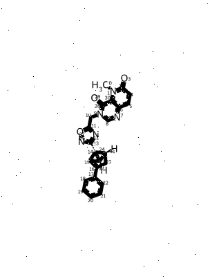 Cn1c(=O)ccc2ncn(Cc3nc([C@]45C6=C(c7ccccc7)C[C@@H]4[C@H]65)no3)c(=O)c21